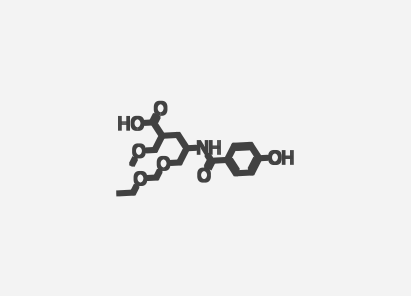 CCOCOCC(CC(COC)C(=O)O)NC(=O)c1ccc(O)cc1